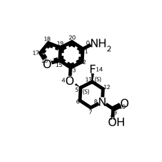 Nc1cc(O[C@H]2CCN(C(=O)O)C[C@@H]2F)c2occc2c1